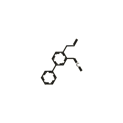 C=C=Cc1cc(-c2ccccc2)ccc1CC=C